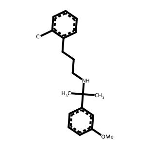 COc1cccc(C(C)(C)NCCCc2ccccc2Cl)c1